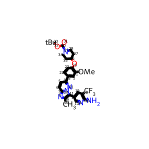 COc1cc(-c2ccc3nc(C)c(-c4cnc(N)c(C(F)(F)F)c4)n3n2)ccc1OC1CCN(C(=O)OC(C)(C)C)CC1